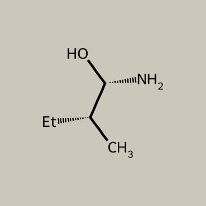 CC[C@@H](C)[C@@H](N)O